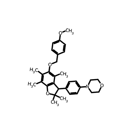 COc1ccc(COc2c(C)c(C)c3c(c2C)C(c2ccc(N4CCOCC4)cc2)C(C)(C)O3)cc1